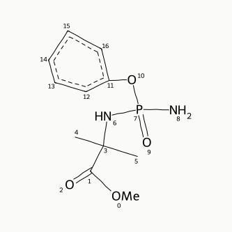 COC(=O)C(C)(C)NP(N)(=O)Oc1ccccc1